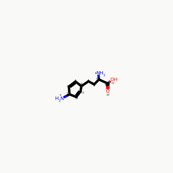 NC1C=CC(CCC(N)C(=O)O)C=C1